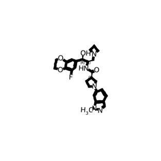 Cn1ncc2ccc(N3CC[C@@H](C(=O)N[C@H](CN4CCC4)[C@H](O)c4cc(F)c5c(c4)OCCO5)C3)cc21